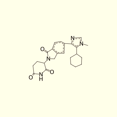 Cn1cnc(-c2ccc3c(c2)CN(C2CCC(=O)NC2=O)C3=O)c1C1CCCCC1